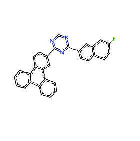 Fc1ccc2ccc(-c3ncnc(-c4ccc5c6ccccc6c6ccccc6c5c4)n3)cc2c1